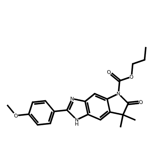 CCCOC(=O)N1C(=O)C(C)(C)c2cc3[nH]c(-c4ccc(OC)cc4)nc3cc21